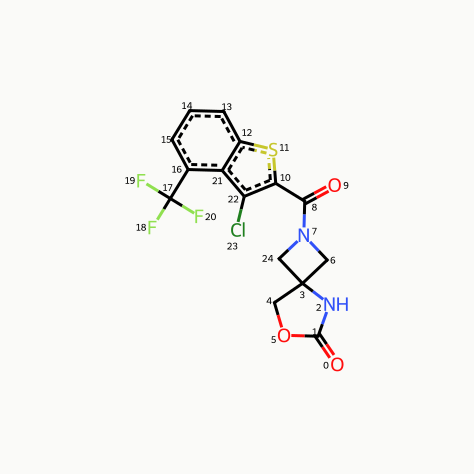 O=C1NC2(CO1)CN(C(=O)c1sc3cccc(C(F)(F)F)c3c1Cl)C2